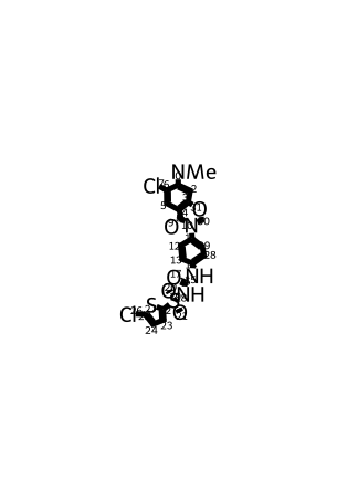 CNc1cc2c(cc1Cl)C(=O)N(c1ccc(NC(=O)NS(=O)(=O)c3ccc(Cl)s3)cc1)CO2